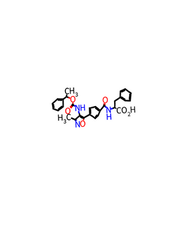 Cc1noc(-c2ccc(C(=O)N[C@@H](Cc3ccccc3)C(=O)O)cc2)c1NC(=O)OC(C)c1ccccc1